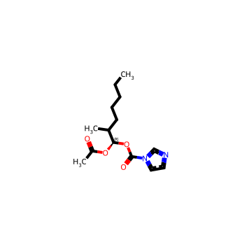 CCCCCC(C)[C@H](OC(C)=O)OC(=O)n1ccnc1